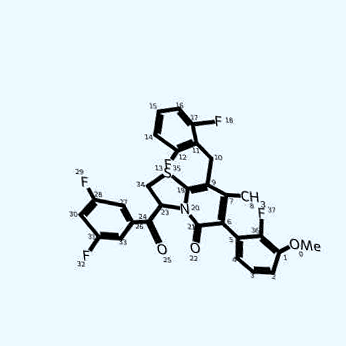 COc1cccc(-c2c(C)c(Cc3c(F)cccc3F)c3n(c2=O)C(C(=O)c2cc(F)cc(F)c2)CS3)c1F